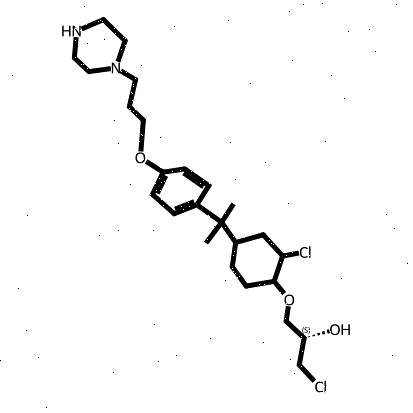 CC(C)(c1ccc(OCCCN2CCNCC2)cc1)C1CCC(OC[C@H](O)CCl)C(Cl)C1